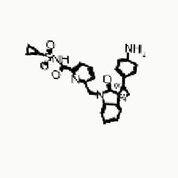 Nc1ccc([C@H]2C[C@]23C(=O)N(Cc2cccc(C(=O)NS(=O)(=O)C4CC4)n2)c2ccccc23)cc1